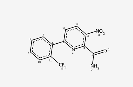 NC(=O)c1nc(-c2ccccc2C(F)(F)F)ccc1[N+](=O)[O-]